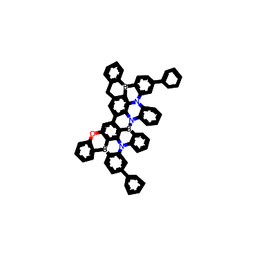 C1=CCCC(c2ccc3c(c2)N2c4ccccc4N4B5c6ccccc6N6c7cc(-c8ccccc8)ccc7B7c8ccccc8Oc8cc(c5c6c87)-c5cc6c(c2c54)B3c2ccccc2C6)=C1